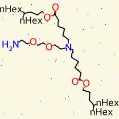 CCCCCCC(CCCCCC)CCCOC(=O)CCCCCN(CCCCCC(=O)OCCCC(CCCCCC)CCCCCC)CCOCCOCCN